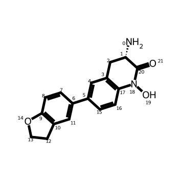 N[C@H]1Cc2cc(-c3ccc4c(c3)CCO4)ccc2N(O)C1=O